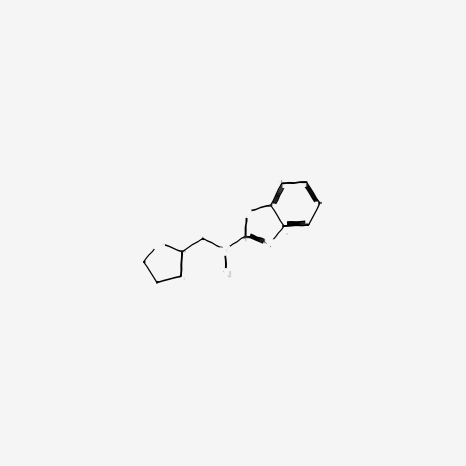 NN(CC1CCCO1)c1nc2ccccc2s1